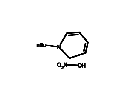 CCCCN1C=CC=CC1.O=[N+]([O-])O